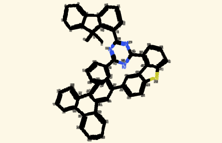 CC1(C)c2ccccc2-c2cccc(C3=NC(c4cccc5sc6ccc(-c7ccc8c9ccccc9c9ccccc9c8c7)cc6c45)NC(c4ccccc4)=N3)c21